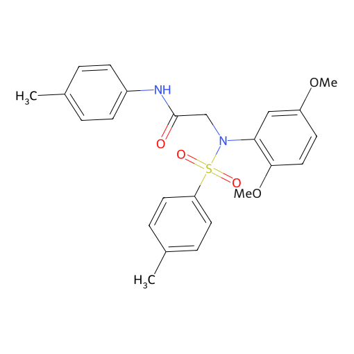 COc1ccc(OC)c(N(CC(=O)Nc2ccc(C)cc2)S(=O)(=O)c2ccc(C)cc2)c1